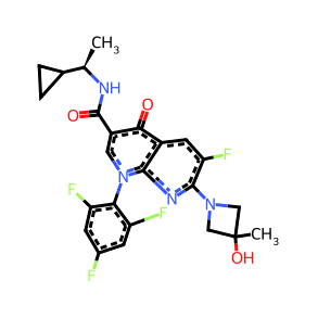 C[C@@H](NC(=O)c1cn(-c2c(F)cc(F)cc2F)c2nc(N3CC(C)(O)C3)c(F)cc2c1=O)C1CC1